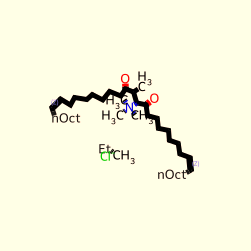 CCC.CCCCCCCC/C=C\CCCCCCCC(=O)C(C)C(C(=O)CCCCCCC/C=C\CCCCCCCC)[N+](C)(C)C.[Cl-]